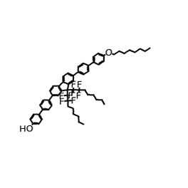 CCCCCCCCOc1ccc(-c2ccc(-c3ccc4c(c3)C(C(F)(F)C(F)(F)CCCCCC)(C(F)(F)C(F)(F)CCCCCC)c3cc(-c5ccc(-c6ccc(O)cc6)cc5)ccc3-4)cc2)cc1